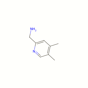 Cc1cnc(CN)cc1C